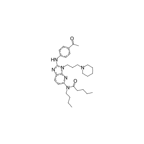 CCCCC(=O)N(CCCC)c1ccc2nc(Nc3ccc(C(C)=O)cc3)n(CCCN3CCCCC3)c2n1